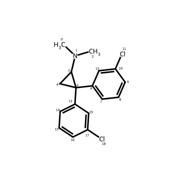 CN(C)C1CC1(c1cccc(Cl)c1)c1cccc(Cl)c1